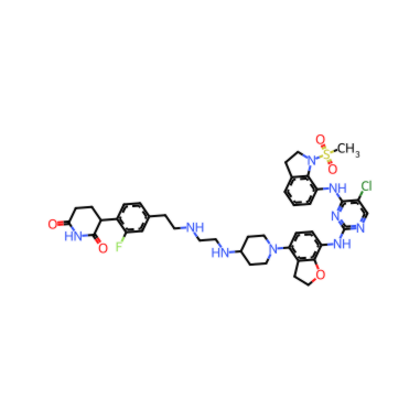 CS(=O)(=O)N1CCc2cccc(Nc3nc(Nc4ccc(N5CCC(NCCNCCc6ccc(C7CCC(=O)NC7=O)c(F)c6)CC5)c5c4OCC5)ncc3Cl)c21